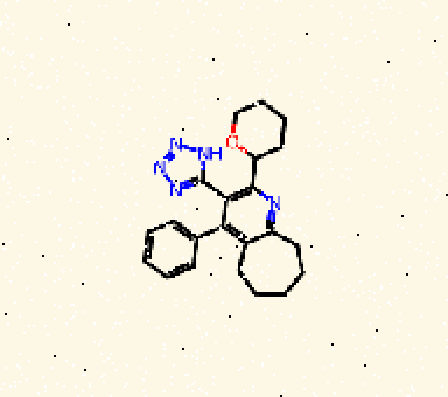 c1ccc(-c2c3c(nc(C4CCCCO4)c2-c2nnn[nH]2)CCCCC3)cc1